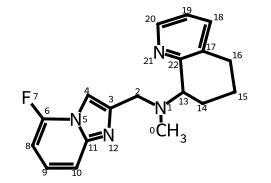 CN(Cc1cn2c(F)cccc2n1)C1CCCc2cccnc21